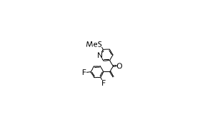 C=C(C(=O)c1ccc(SC)nc1)c1ccc(F)cc1F